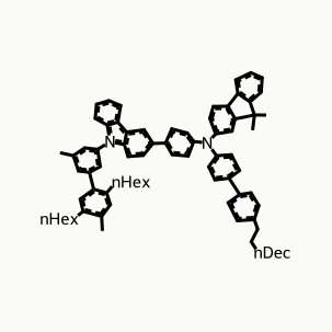 CCCCCCCCCCCCc1ccc(-c2ccc(N(c3ccc(-c4ccc5c(c4)c4ccccc4n5-c4cc(C)cc(-c5cc(CCCCCC)c(C)cc5CCCCCC)c4)cc3)c3ccc4c(c3)C(C)(C)c3ccccc3-4)cc2)cc1